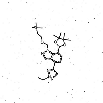 CCn1ncc(-c2ccc(B3OC(C)(C)C(C)(C)O3)c3c2cnn3COCC[Si](C)(C)C)n1